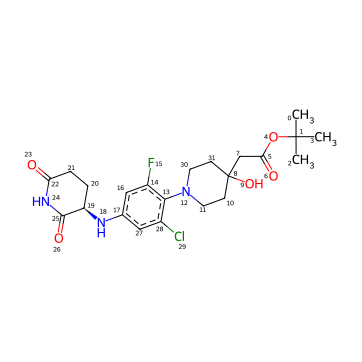 CC(C)(C)OC(=O)CC1(O)CCN(c2c(F)cc(N[C@@H]3CCC(=O)NC3=O)cc2Cl)CC1